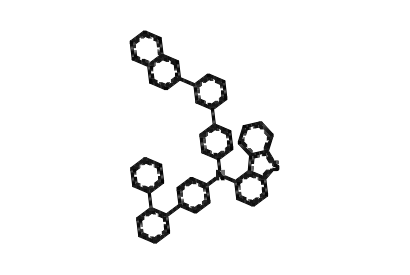 c1ccc(-c2ccccc2-c2ccc(N(c3ccc(-c4cccc(-c5ccc6ccccc6c5)c4)cc3)c3cccc4sc5ccccc5c34)cc2)cc1